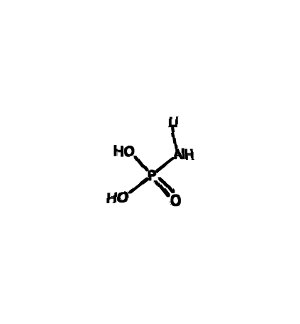 [Li][AlH][P](=O)(O)O